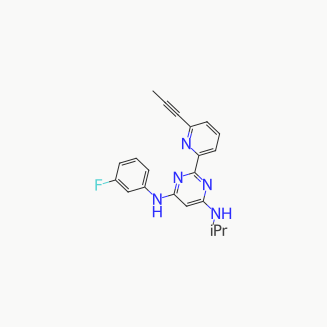 CC#Cc1cccc(-c2nc(Nc3cccc(F)c3)cc(NC(C)C)n2)n1